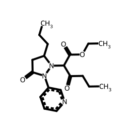 CCCC(=O)C(C(=O)OCC)N1C(CCC)CC(=O)N1c1cccnc1